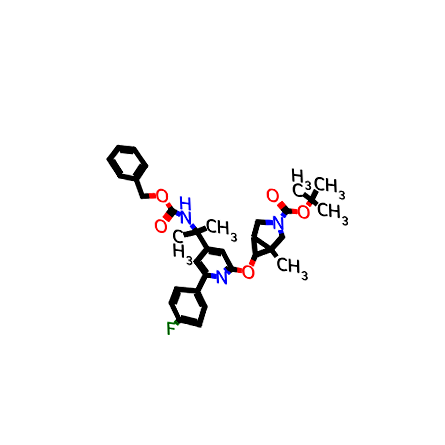 CC(C)(C)OC(=O)N1CC2C(Oc3cc(C(C)(C)NC(=O)OCc4ccccc4)cc(-c4ccc(F)cc4)n3)C2(C)C1